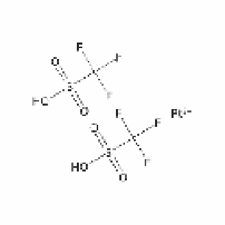 O=S(=O)(O)C(F)(F)F.O=S(=O)(O)C(F)(F)F.[Pt+2]